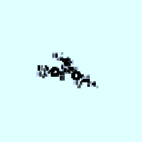 C=C(CC)NC1CCCC(Nc2nc(N[C@H]3CC[C@H](N(C)C)CC3)nc3c(CC)cnn23)C1